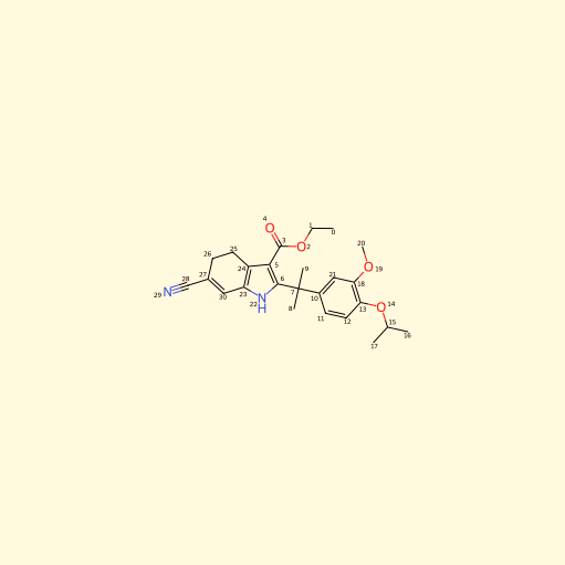 CCOC(=O)c1c(C(C)(C)c2ccc(OC(C)C)c(OC)c2)[nH]c2c1CCC(C#N)=C2